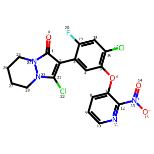 O=c1c(-c2cc(Oc3cccnc3[N+](=O)[O-])c(Cl)cc2F)c(Cl)n2n1CCCC2